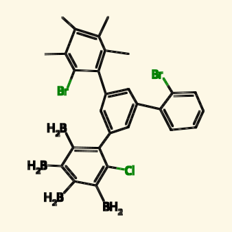 Bc1c(B)c(B)c(-c2cc(-c3ccccc3Br)cc(-c3c(C)c(C)c(C)c(C)c3Br)c2)c(Cl)c1B